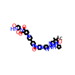 CC(=O)c1c(C)c2cnc(Nc3ccc(N4CCN(C(=O)N5CCC(C6CCN(c7ccc8c(c7)C(=O)N(C7CCC(=O)NC7=O)C8=O)CC6)CC5)CC4)cn3)nc2n(C2CCCC2)c1=O